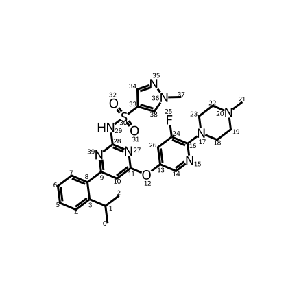 CC(C)c1ccccc1-c1cc(Oc2cnc(N3CCN(C)CC3)c(F)c2)nc(NS(=O)(=O)c2cnn(C)c2)n1